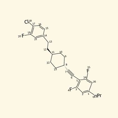 CCCc1cc(F)c(C#C[C@H]2CC[C@H](CCc3ccc(Cl)c(F)c3)CC2)c(F)c1